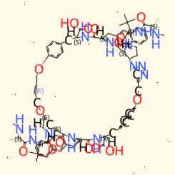 CN[C@@H](C)C(=O)N[C@H](C(=O)N1CCC2[C@H]1C(=O)N[C@@H](Cc1ccc3ccccc3c1)C(=O)N[C@H](C(=O)O)Cc1ccc(cc1)OC/C=C/CO[C@H]1C[C@@H](C(=O)N[C@@H](Cc3ccc4ccccc4c3)C(=O)N[C@H](C(=O)O)Cc3ccc(cc3)OCc3cn2nn3)N(C(=O)[C@@H](NC(=O)[C@H](C)NC)C(C)(C)C)C1)C(C)(C)C